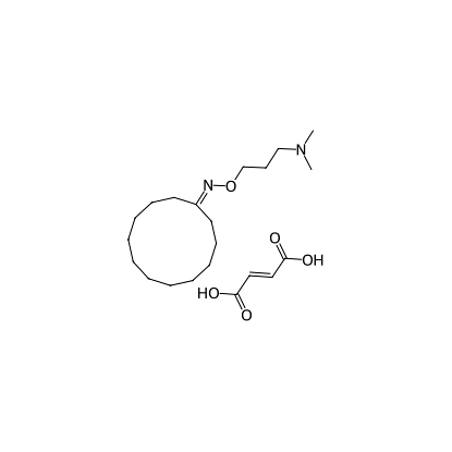 CN(C)CCCON=C1CCCCCCCCCCC1.O=C(O)/C=C/C(=O)O